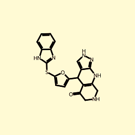 O=C1CNCC2=C1C(c1ccc(Sc3nc4ccccc4[nH]3)o1)c1c[nH]nc1N2